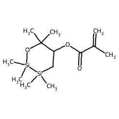 C=C(C)C(=O)OC1C[Si](C)(C)[Si](C)(C)OC1(C)C